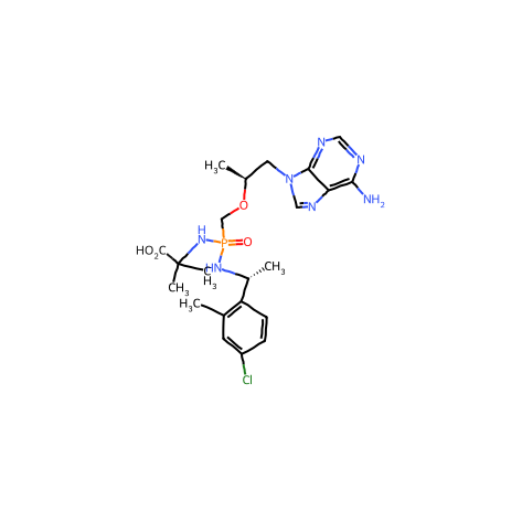 Cc1cc(Cl)ccc1[C@@H](C)NP(=O)(CO[C@@H](C)Cn1cnc2c(N)ncnc21)NC(C)(C)C(=O)O